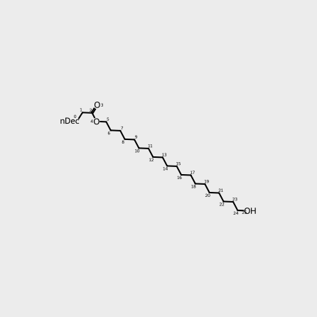 CCCCCCCCCCCC(=O)OCCCCCCCCCCCCCCCCCCCCO